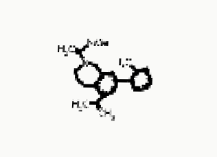 C=C(C)c1cc(-c2ccccc2C)cc2c1CCCN(C(=C)NC)C2